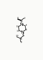 C=C(C)N1CCN(CC(C)C)CC1